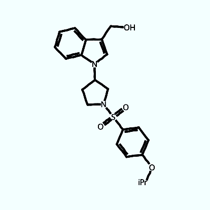 CC(C)Oc1ccc(S(=O)(=O)N2CCC(n3cc(CO)c4ccccc43)C2)cc1